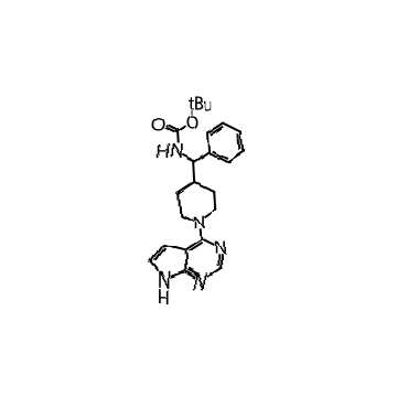 CC(C)(C)OC(=O)NC(c1ccccc1)C1CCN(c2ncnc3[nH]ccc23)CC1